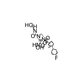 O=C(NO)[C@H]1CN(C(=O)NCCO)CCN1S(=O)(=O)c1ccc(-c2ccc(F)cc2)s1